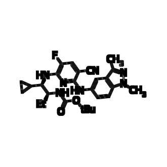 CC[C@H](NC(=O)OC(C)(C)C)[C@H](Nc1nc(Nc2ccc3c(c2)c(C)nn3C)c(C#N)cc1F)C1CC1